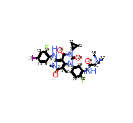 Cc1c(=O)n(C)c(Nc2ccc(I)cc2F)c2c(=O)n(C3CC3)c(=O)n(-c3ccc(F)c(NC(=O)CN(C)C)c3)c12